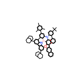 Cc1cc(C)c(-c2cc3c4c(c2)N(c2ccc(C(C)(C)C)cc2-c2ccccc2)c2ccc5c(oc6cc7ccccc7cc65)c2B4n2c4ccc(C56CCCC(CCC5)C6)cc4c4cc(C56CCCC(CCC5)C6)cc-3c42)c(C)c1